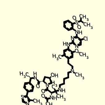 COc1cc(CCN(C)CCCCCNC(C)(C)[C@H](NC(C)=O)C(=O)N2C[C@H](O)C[C@H]2C(=O)N[C@@H](C)c2ccc(-c3scnc3C)cc2)c(C)cc1Nc1ncc(Cl)c(Nc2ccccc2S(=O)(=O)C(C)C)n1